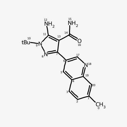 Cc1ccc2cc(-c3nn(C(C)(C)C)c(N)c3C(N)=O)cnc2c1